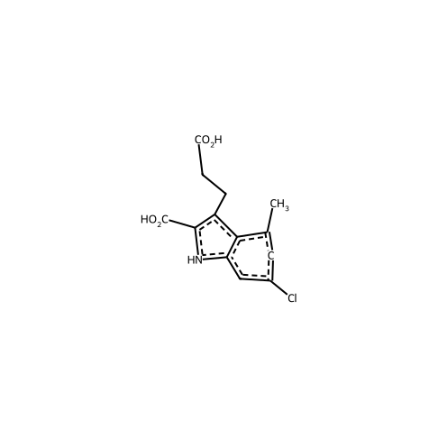 Cc1cc(Cl)cc2[nH]c(C(=O)O)c(CCC(=O)O)c12